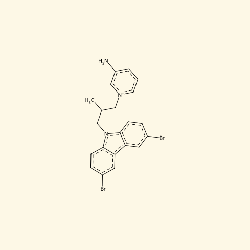 CC(Cn1c2ccc(Br)cc2c2cc(Br)ccc21)C[n+]1cccc(N)c1